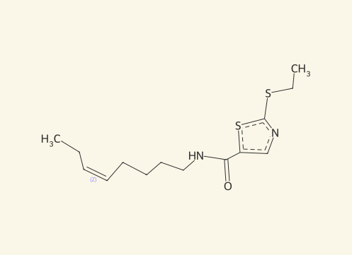 CC/C=C\CCCCNC(=O)c1cnc(SCC)s1